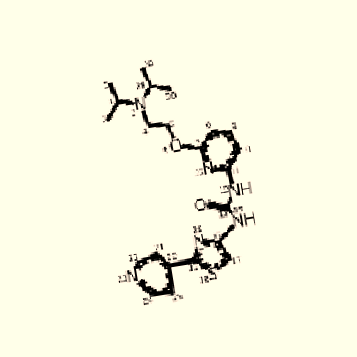 CC(C)N(CCOc1cccc(NC(=O)Nc2csc(-c3ccncc3)n2)n1)C(C)C